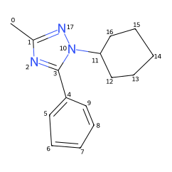 Cc1nc(-c2ccccc2)n(C2CCCCC2)n1